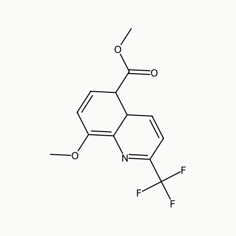 COC(=O)C1C=CC(OC)=C2N=C(C(F)(F)F)C=CC21